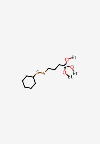 CCO[Si](CCCSSC1CCCCC1)(OCC)OCC